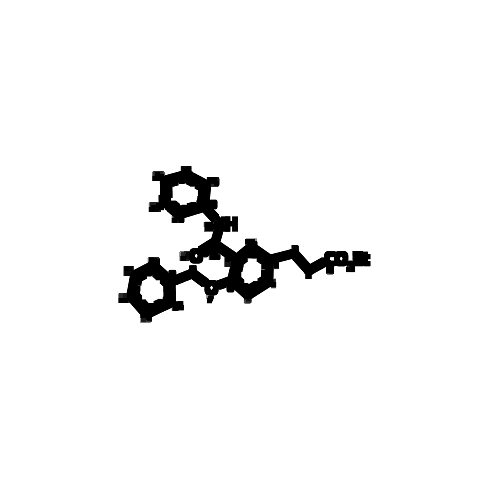 CCOC(=O)CCc1ccc(OCc2ccccc2)c(C(=O)Nc2cccnc2)c1